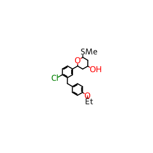 CCOc1ccc(Cc2cc(C3CC(O)CC(SC)O3)ccc2Cl)cc1